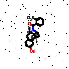 C[C@@]12CC3[C@H]1[C@@H](Cc1ccc(O)cc12)N3C(=O)c1ccccc1[N+](=O)[O-]